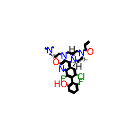 [2H]C1[C@@H](C)N(C(=O)C=C)C[C@H]2CN3C[C@@H](CN(C)C)Oc4nc5c(F)c(-c6c(O)cccc6F)c(Cl)cc5c(c43)N12